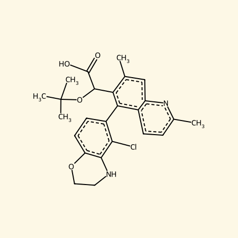 Cc1ccc2c(-c3ccc4c(c3Cl)NCCO4)c(C(OC(C)(C)C)C(=O)O)c(C)cc2n1